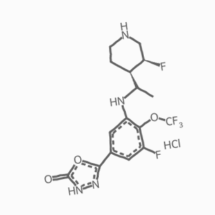 CC(Nc1cc(-c2n[nH]c(=O)o2)cc(F)c1OC(F)(F)F)[C@H]1CCNC[C@H]1F.Cl